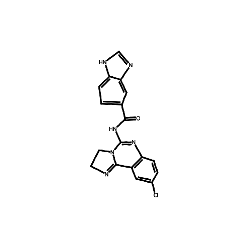 O=C(NC1=Nc2ccc(Cl)cc2C2=NCCN12)c1ccc2[nH]cnc2c1